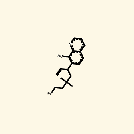 C=CC(CC(C)(C)CCC(C)C)c1ccc2cccnc2c1O